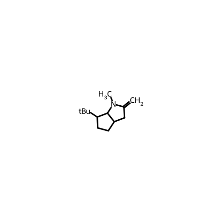 C=C1CC2CCC(C(C)(C)C)C2N1C